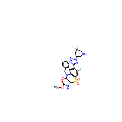 CC(C)(C)OC(=O)N[C@H]1CS(=O)(=O)c2cc(F)c(-c3nnn(C4CNCC(F)(F)C4)n3)cc2N(Cc2ccccc2)C1=O